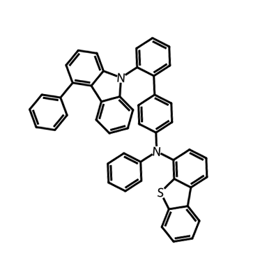 c1ccc(-c2cccc3c2c2ccccc2n3-c2ccccc2-c2ccc(N(c3ccccc3)c3cccc4c3sc3ccccc34)cc2)cc1